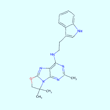 Cc1nc(NCCc2c[nH]c3ccccc23)c2nc3n(c2n1)C(C)(C)CO3